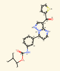 CC(C)C(C)OC(=O)Nc1cccc(-c2ccnc3c(C(=O)c4cccs4)cnn23)c1